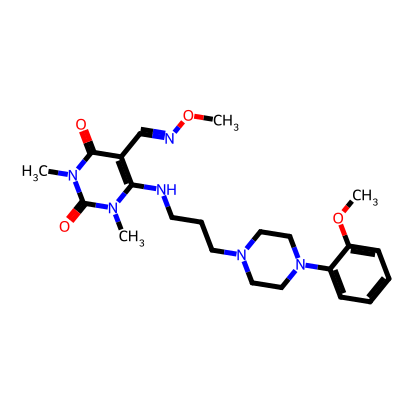 CON=Cc1c(NCCCN2CCN(c3ccccc3OC)CC2)n(C)c(=O)n(C)c1=O